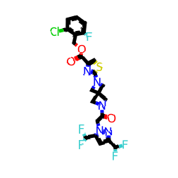 O=C(OCc1c(F)cccc1Cl)c1csc(N2CC3(CN(C(=O)Cn4nc(C(F)F)cc4C(F)F)C3)C2)n1